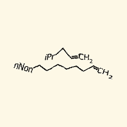 C=CCC(C)C.C=CCCCCCCCCCCCCCCC